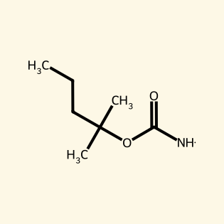 CCCC(C)(C)OC([NH])=O